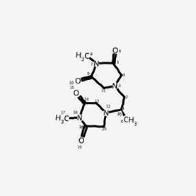 C[C@H](CN1CC(=O)N(C)C(=O)C1)N1CC(=O)N(C)C(=O)C1